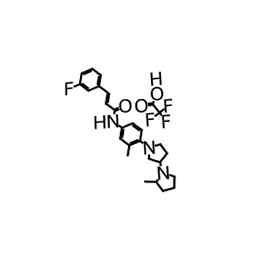 Cc1cc(NC(=O)C=Cc2cccc(F)c2)ccc1N1CCC(N2CCCC2C)C1.O=C(O)C(F)(F)F